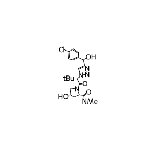 CNC(=O)C1CC(O)CN1C(=O)[C@@H](n1cc(C(O)c2ccc(Cl)cc2)nn1)C(C)(C)C